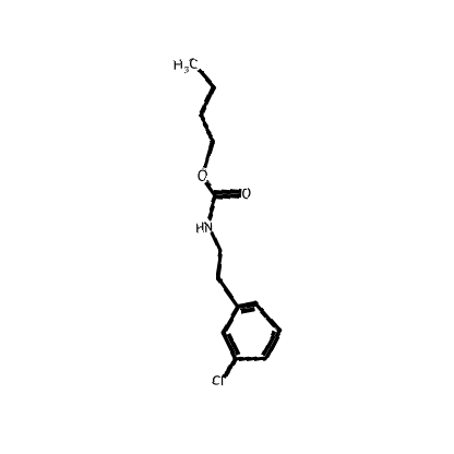 CCCCOC(=O)NCCc1cccc(Cl)c1